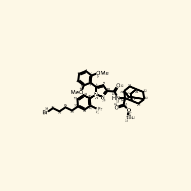 COc1cccc(OC)c1-c1cc(C(=O)NC2(C(=O)OC(C)(C)C)C3CC4CC(C3)CC2C4)nn1-c1ccc(CCCCBr)cc1C(C)C